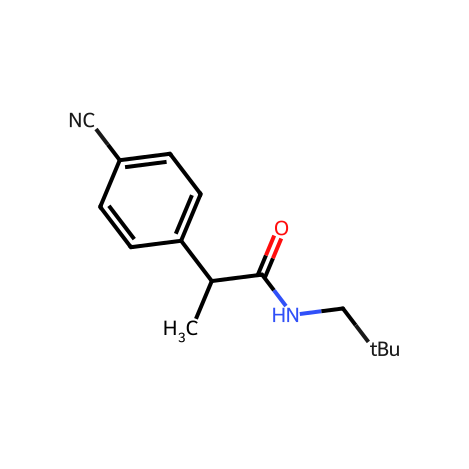 CC(C(=O)NCC(C)(C)C)c1ccc(C#N)cc1